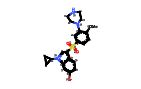 COc1ccc(S(=O)(=O)c2cn(C3CC3)c3cc(Br)ccc23)cc1N1CCNCC1